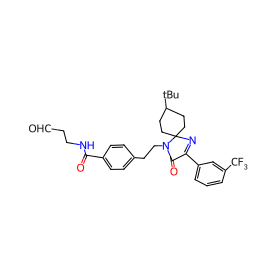 CC(C)(C)C1CCC2(CC1)N=C(c1cccc(C(F)(F)F)c1)C(=O)N2CCc1ccc(C(=O)NCCC=O)cc1